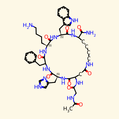 CC(=O)NCC(=O)NC1CC(=O)NCCCCC(C(N)=O)NC(=O)[C@H](Cc2c[nH]c3ccccc23)NC(=O)[C@H](CCCCN)NC(=O)C(Cc2ccccc2)NC(=O)[C@H](Cc2c[nH]cn2)NC1=O